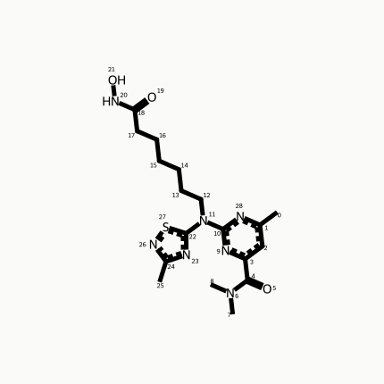 Cc1cc(C(=O)N(C)C)nc(N(CCCCCCC(=O)NO)c2nc(C)ns2)n1